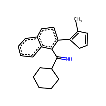 CC1=C(c2ccc3ccccc3c2C(=N)C2CCCCC2)CC=C1